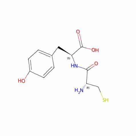 N[C@@H](CS)C(=O)N[C@@H](Cc1ccc(O)cc1)C(=O)O